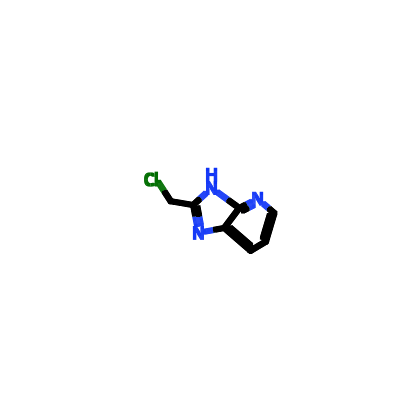 ClCc1nc2cccnc2[nH]1